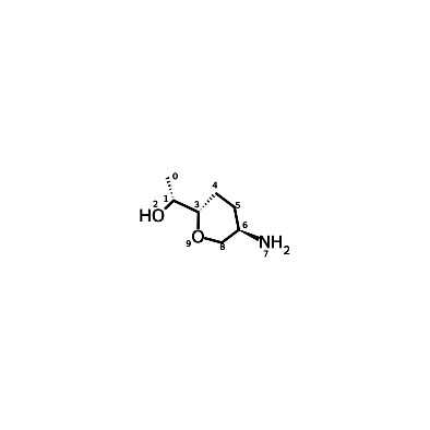 C[C@@H](O)[C@@H]1CC[C@@H](N)CO1